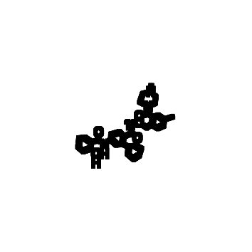 Cc1ccc(CON(C)C(=O)c2ccc(NC(=O)c3ccccc3O)cc2-c2ccccc2)c(C(=O)N2CCN(C)CC2)c1